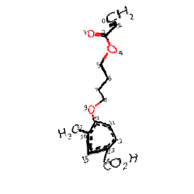 C=CC(=O)OCCCCOc1ccc(C(=O)O)cc1C